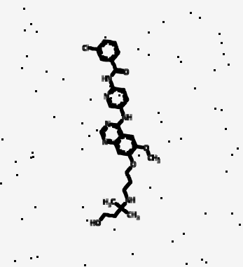 COc1cc2c(Nc3ccc(NC(=O)c4cccc(Cl)c4)nc3)ncnc2cc1OCCCNC(C)(C)CCO